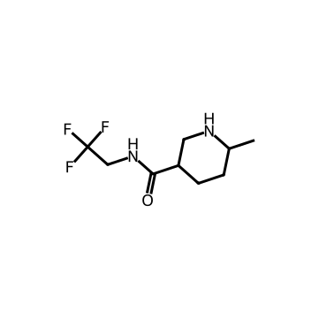 CC1CCC(C(=O)NCC(F)(F)F)CN1